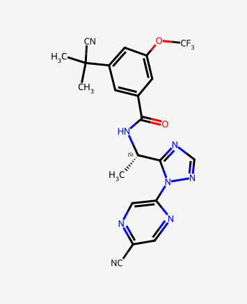 C[C@H](NC(=O)c1cc(OC(F)(F)F)cc(C(C)(C)C#N)c1)c1ncnn1-c1cnc(C#N)cn1